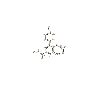 CC(C)c1nc(N(C)C=O)nc(-c2ccc(F)cc2)c1CC1CO1